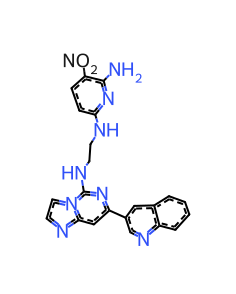 Nc1nc(NCCNc2nc(-c3cnc4ccccc4c3)cc3nccn23)ccc1[N+](=O)[O-]